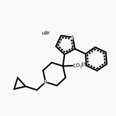 Br.CCOC(=O)C1(c2ccsc2-c2ccccc2)CCN(CC2CC2)CC1